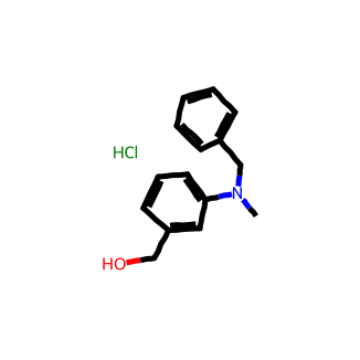 CN(Cc1ccccc1)c1cccc(CO)c1.Cl